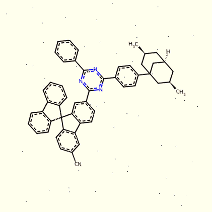 C[C@@H]1C[C@@H]2C[C@H](C)CC(c3ccc(-c4nc(-c5ccccc5)nc(-c5ccc6c(c5)C5(c7ccccc7-c7ccccc75)c5ccc(C#N)cc5-6)n4)cc3)(C1)C2